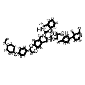 CC[C@H]1CC[C@@H](Oc2ccc([C@H]3COc4cc5c(cc4O3)CN(C(=O)N[C@H](C)c3ccccc3)[C@H](C(=O)N[C@@H](Cc3ccc(-c4ccnc(C)c4C)cc3)C(=O)O)C5)cc2)CC1